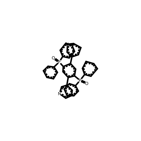 O=P(c1ccccc1)(c1ccccc1)c1cc(-c2cccnc2)c(P(=O)(c2ccccc2)c2ccccc2)cc1-c1cccnc1